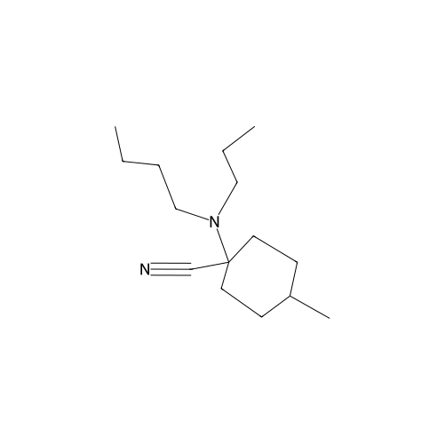 CCCCN(CCC)C1(C#N)CCC(C)CC1